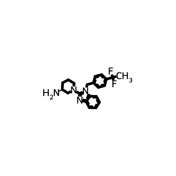 CC(F)(F)c1ccc(Cn2c(N3CCC[C@@H](N)C3)nc3ccccc32)cc1